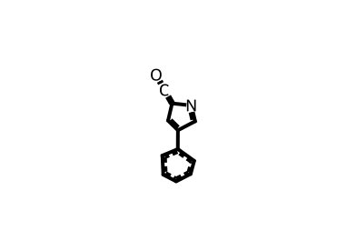 O=C=C1C=C(c2ccccc2)C=N1